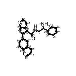 NC(CNC(=O)c1c(-c2ccc3ccccc3c2)nc2occn12)c1ccccc1